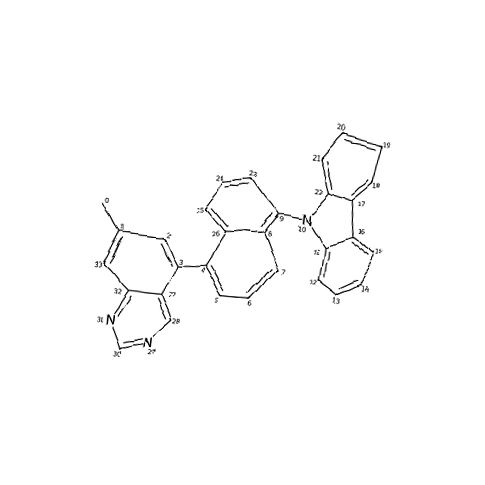 Cc1cc(-c2cccc3c(-n4c5ccccc5c5ccccc54)cccc23)c2cncnc2c1